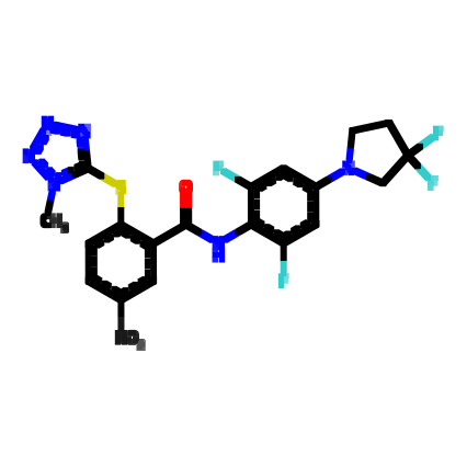 Cn1nnnc1Sc1ccc([N+](=O)[O-])cc1C(=O)Nc1c(F)cc(N2CCC(F)(F)C2)cc1F